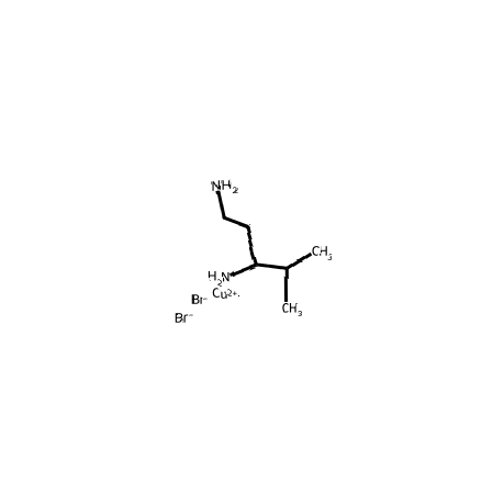 CC(C)C(N)CCN.[Br-].[Br-].[Cu+2]